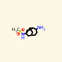 CS(=O)(=O)NC12CC3CCC(N)C(C1)C(C3)C2